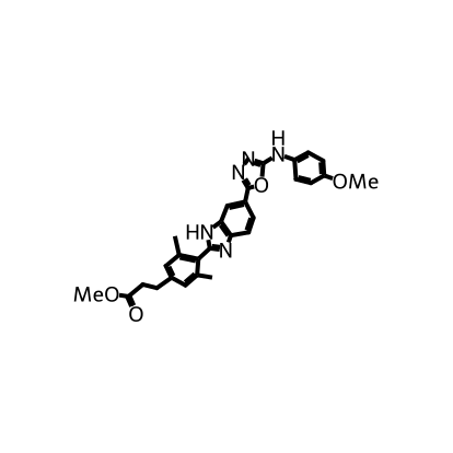 COC(=O)CCc1cc(C)c(-c2nc3ccc(-c4nnc(Nc5ccc(OC)cc5)o4)cc3[nH]2)c(C)c1